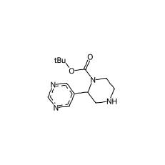 CC(C)(C)OC(=O)N1CCNCC1c1cncnc1